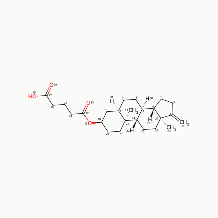 C=C1CC[C@H]2[C@@H]3CC[C@@H]4C[C@H](OC(=O)CCCC(=O)O)CC[C@]4(C)[C@H]3CC[C@]12C